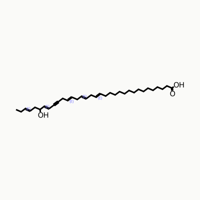 CC/C=C/CC(O)/C=C/C#CC/C=C/C/C=C/C/C=C/CCCCCCCCCCCCCCC(=O)O